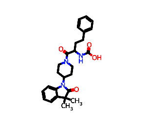 CC1(C)C(=O)N(C2CCN(C(=O)C(CCc3ccccc3)NC(=O)O)CC2)c2ccccc21